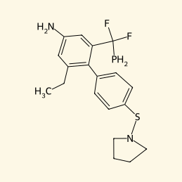 CCc1cc(N)cc(C(F)(F)P)c1-c1ccc(SN2CCCC2)cc1